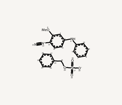 COc1cc(Nc2ccccc2)ccc1[N+]#N.O=S(=O)([O-])OCc1ccccc1